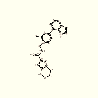 Cc1cc(-c2ncnc3cc[nH]c23)ccc1CNC(=O)c1cc2c(s1)CCCC2